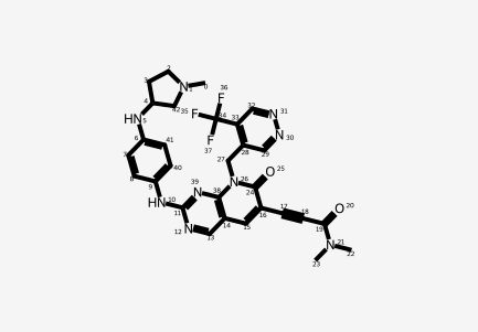 CN1CCC(Nc2ccc(Nc3ncc4cc(C#CC(=O)N(C)C)c(=O)n(Cc5cnncc5C(F)(F)F)c4n3)cc2)C1